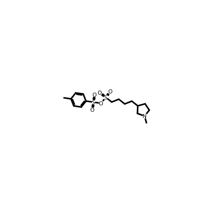 Cc1ccc(S(=O)(=O)OS(=O)(=O)CCCCC2CCN(C)C2)cc1